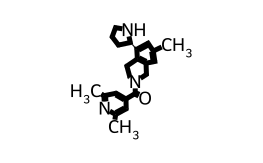 Cc1cc2c(c([C@@H]3CCCN3)c1)CCN(C(=O)c1cc(C)nc(C)c1)C2